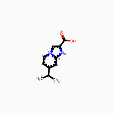 CC(C)c1ccn2cc(C(=O)O)nc2c1